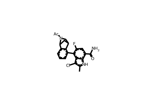 CC(=O)N1CC2CC1c1cccc(-c3c(F)cc(C(N)=O)c4[nH]c(C)c(Cl)c34)c12